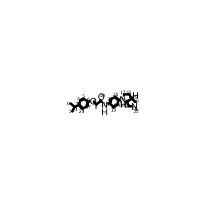 CC(C)c1ccc(OCC(=O)Nc2ccc(N3CC[C@H]4CN(C)C[C@H]43)cc2)cc1